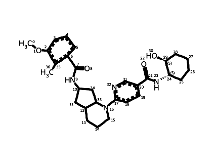 COc1cccc(C(=O)NC2CC3CCCN(c4ccc(C(=O)N[C@H]5CCCC[C@@H]5O)cn4)C3C2)c1C